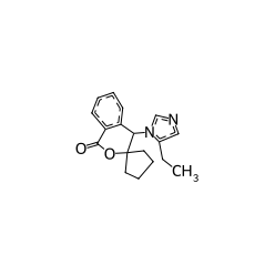 CCc1cncn1C1c2ccccc2C(=O)OC12CCCC2